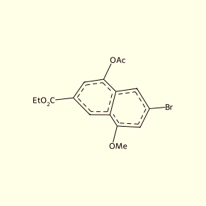 CCOC(=O)c1cc(OC(C)=O)c2cc(Br)cc(OC)c2c1